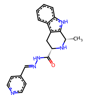 C[C@@H]1N[C@H](C(=O)N/N=C/c2ccncc2)Cc2c1[nH]c1ccccc21